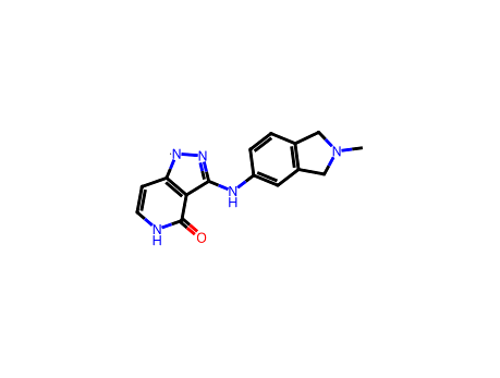 CN1Cc2ccc(NC3=N[N]c4cc[nH]c(=O)c43)cc2C1